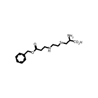 NC(C[Se]CCNCCC(=O)OCc1ccccc1)C(=O)O